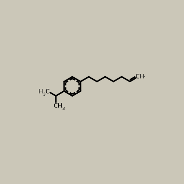 [CH]=CCCCCCc1ccc(C(C)C)cc1